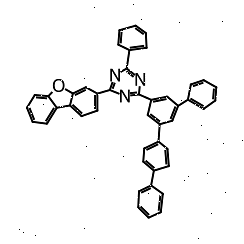 c1ccc(-c2ccc(-c3cc(-c4ccccc4)cc(-c4nc(-c5ccccc5)nc(-c5ccc6c(c5)oc5ccccc56)n4)c3)cc2)cc1